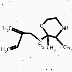 C=CC(=C)C[SiH2]C1(C)OCCNC1C